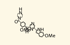 COc1ccc2cc(-c3cncc(Nc4ccc(C(=O)N5CCNCC5)cc4OC)n3)[nH]c2c1